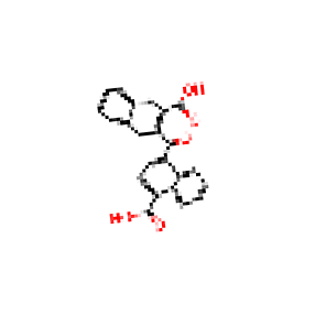 O=C(O)C1=C(C(=O)c2ccc(C(=O)O)c3ccccc23)Cc2ccccc2[CH]1